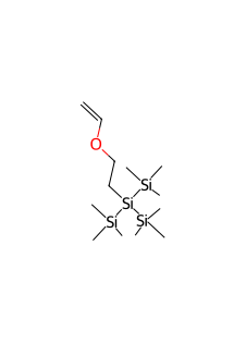 C=COCC[Si]([Si](C)(C)C)([Si](C)(C)C)[Si](C)(C)C